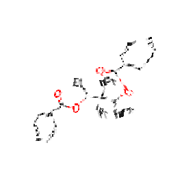 CCCC(OC(=O)c1ccccc1)C(CCC)(CCC)C(CC)OC(=O)c1ccccc1